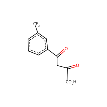 O=C(O)C(=O)CC(=O)c1cccc(C(F)(F)F)c1